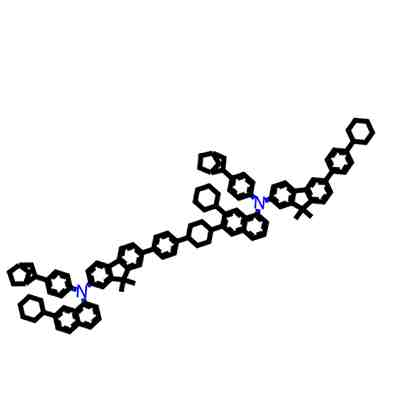 CC1(C)c2ccc(-c3ccc(C4CCCCC4)cc3)cc2-c2ccc(N(c3ccc(C4CC5CCC4C5)cc3)c3cccc4cc(C5CCC(c6ccc(-c7ccc8c(c7)C(C)(C)c7cc(N(c9ccc(C%10CC%11CCC%10C%11)cc9)c9cccc%10ccc(C%11CCCCC%11)cc9%10)ccc7-8)cc6)CC5)c(C5CCCCC5)cc34)cc21